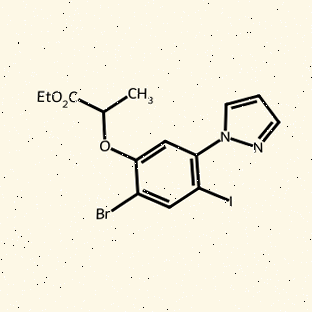 CCOC(=O)C(C)Oc1cc(-n2cccn2)c(I)cc1Br